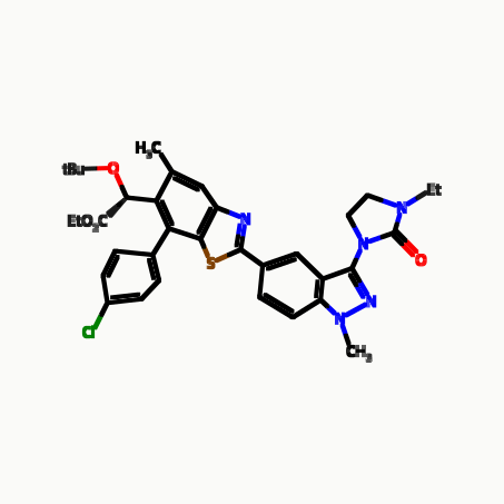 CCOC(=O)[C@@H](OC(C)(C)C)c1c(C)cc2nc(-c3ccc4c(c3)c(N3CCN(CC)C3=O)nn4C)sc2c1-c1ccc(Cl)cc1